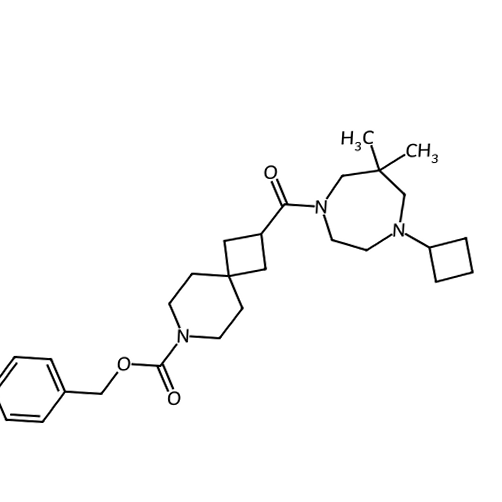 CC1(C)CN(C(=O)C2CC3(CCN(C(=O)OCc4ccccc4)CC3)C2)CCN(C2CCC2)C1